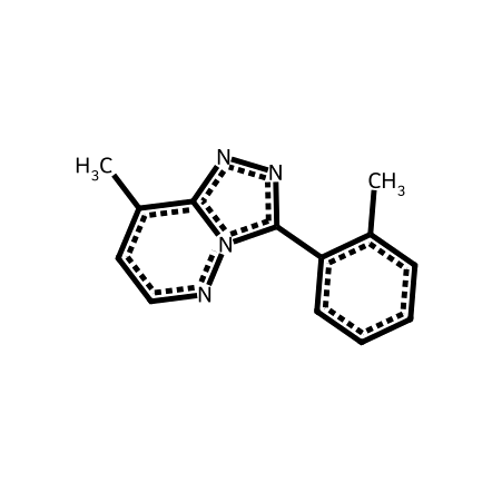 Cc1ccccc1-c1nnc2c(C)ccnn12